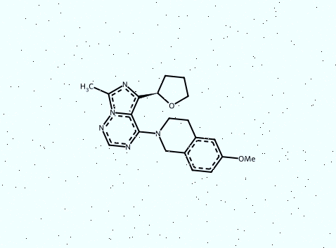 COc1ccc2c(c1)CCN(c1ncnn3c(C)nc([C@H]4CCCO4)c13)C2